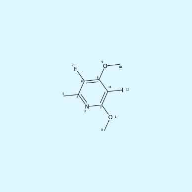 COc1nc(C)c(F)c(OC)c1I